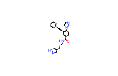 O=C(NCCCc1cn[nH]c1)c1ccc(-n2ccnc2)c(C#Cc2ccccc2)c1